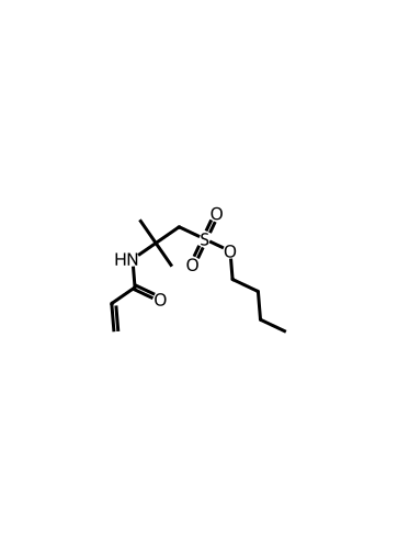 C=CC(=O)NC(C)(C)CS(=O)(=O)OCCCC